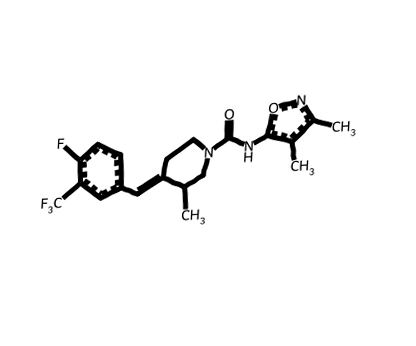 Cc1noc(NC(=O)N2CCC(=Cc3ccc(F)c(C(F)(F)F)c3)C(C)C2)c1C